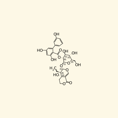 C=C[C@H]1[C@H](O[C@@H]2O[C@H](CO)[C@@H](O)[C@H](O)[C@H]2OC(=O)c2c(O)cc(O)cc2-c2cccc(O)c2)OC=C2C(=O)OCC[C@]21O